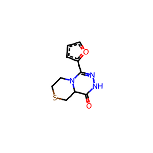 O=C1NN=C(c2ccco2)N2CCSCC12